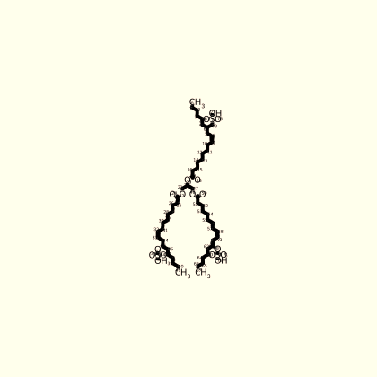 CCCCCCC(C/C=C\CCCCCCCC(=O)OC(COC(=O)CCCCCCC/C=C\CC(CCCCCC)OS(=O)(=O)O)COC(=O)CCCCCCC/C=C\CC(CCCCCC)OS(=O)(=O)O)CS(=O)(=O)O